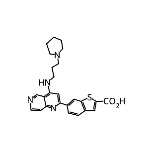 O=C(O)c1cc2ccc(-c3cc(NCCCN4CCCCC4)c4cnccc4n3)cc2s1